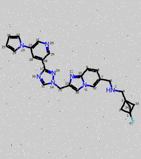 FC12CC(CNCc3ccc4nc(Cn5cnc(-c6cncc(-n7cccc7)c6)n5)cn4c3)(C1)C2